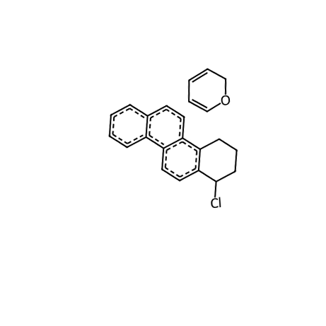 C1=CCOC=C1.ClC1CCCc2c1ccc1c2ccc2ccccc21